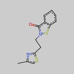 Cc1csc(CCn2sc3ccccc3c2=O)n1